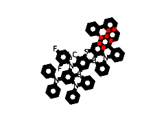 Fc1ccc(N2c3cc(N(c4ccccc4)c4ccccc4)cc4c3B(c3ccccc3N4c3ccccc3)c3cc4c(c(C(F)(F)F)c32)Sc2cc(N(c3ccccc3)c3ccccc3-c3ccccc3)cc3c2B4c2ccccc2N3c2ccccc2-c2ccccc2)c(F)c1